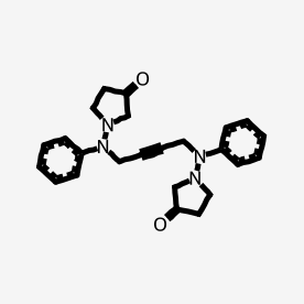 O=C1CCN(N(CC#CCN(c2ccccc2)N2CCC(=O)C2)c2ccccc2)C1